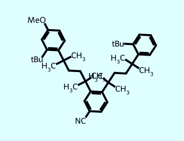 COc1ccc(C(C)(C)CCC(C)(C)c2cc(C#N)ccc2C(C)(C)CCC(C)(C)c2ccccc2C(C)(C)C)c(C(C)(C)C)c1